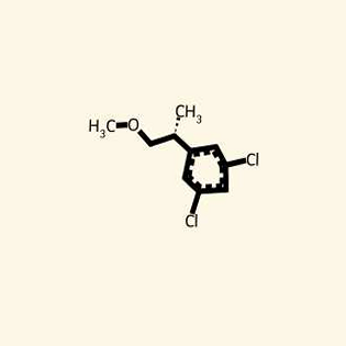 COC[C@H](C)c1cc(Cl)cc(Cl)c1